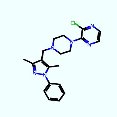 Cc1nn(-c2ccccc2)c(C)c1CN1CCN(c2nccnc2Cl)CC1